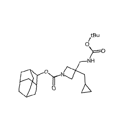 CC(C)(C)OC(=O)NCC1(CC2CC2)CN(C(=O)OC2C3CC4CC(C3)CC2C4)C1